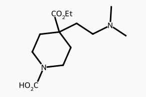 CCOC(=O)C1(CCN(C)C)CCN(C(=O)O)CC1